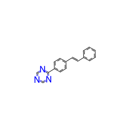 C(=C\c1ccc(-c2ncncn2)cc1)/c1ccccc1